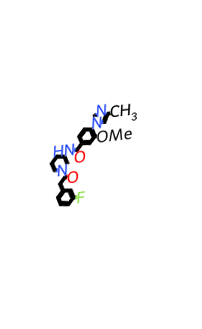 COc1cc(C(=O)NC2CCCN(C(=O)Cc3cccc(F)c3)C2)ccc1-n1cnc(C)c1